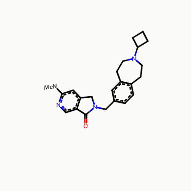 CNc1cc2c(cn1)C(=O)N(Cc1ccc3c(c1)CCN(C1CCC1)CC3)C2